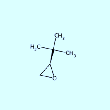 CC(C)(C)[C@@H]1CO1